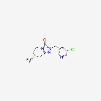 O=c1n(Cc2cncc(Cl)c2)nc2n1CC[C@@H](C(F)(F)F)C2